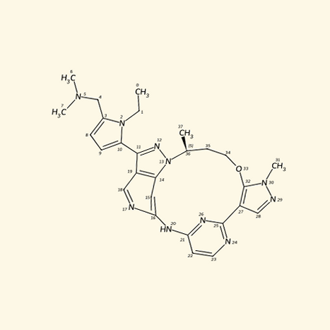 CCn1c(CN(C)C)ccc1-c1nn2c3cc(ncc13)Nc1ccnc(n1)-c1cnn(C)c1OCC[C@@H]2C